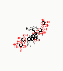 CC(C)=CCC[C@](C)(O[C@@H]1O[C@H](CO[C@@H]2OC[C@@H](O)[C@H](O)[C@H]2O)[C@@H](O)[C@H](O)[C@H]1O)[C@H]1CC[C@]2(C)[C@@H]1[C@H](O)C[C@H]1[C@@]2(C)[C@@H](O)C=C2C(C)(C)[C@@H](O[C@@H]3O[C@H](CO)[C@@H](O)[C@H](O)[C@H]3O[C@@H]3O[C@H](CO)[C@@H](O)[C@H](O)[C@H]3O)CC[C@@]21C